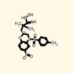 Cc1ccc(S(=O)(=O)N2C[C@H](CC(C)(C)C(=N)NO)Oc3ccc([N+](=O)[O-])cc32)cc1